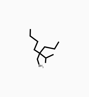 BCC(CCC)(CCCC)C(C)C